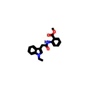 CCn1cc(CC(=O)Nc2ccccc2C(=O)OC)c2ccccc21